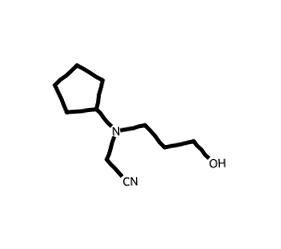 N#CCN(CCCO)C1CCCC1